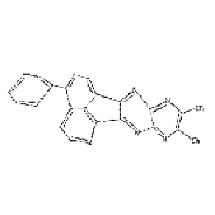 N#Cc1nc2nc3c(nc2nc1C#N)-c1ccc(-c2ccccc2)c2cccc-3c12